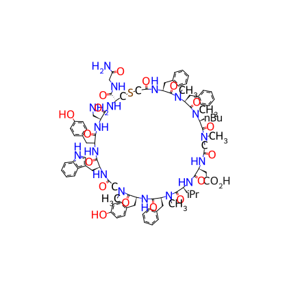 CCCC[C@H]1C(=O)N(C)CC(=O)N[C@@H](CC(=O)O)C(=O)N[C@@H](C(C)C)C(=O)N(C)[C@@H](Cc2ccccc2)C(=O)N[C@@H](Cc2ccc(O)cc2)C(=O)N(C)CC(=O)N[C@@H](Cc2c[nH]c3ccccc23)C(=O)NC(Cc2ccc(O)cc2)C(=O)N[C@@H](CN)C(=O)N[C@H](C(=O)NCC(N)=O)CSCC(=O)N[C@@H](Cc2ccccc2)C(=O)N(C)[C@@H](Cc2ccccc2)C(=O)N1C